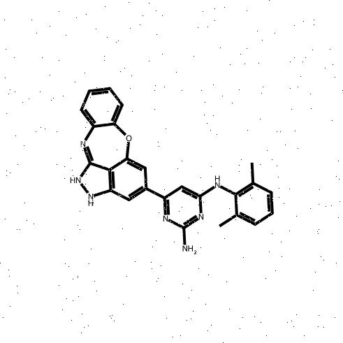 Cc1cccc(C)c1Nc1cc(-c2cc3c4c(c2)Oc2ccccc2N=C4NN3)nc(N)n1